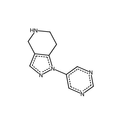 c1ncc(-n2ncc3c2CCNC3)cn1